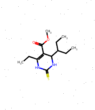 CCC1=C(C(=O)OC)C(C(CC)CC)NC(=S)N1